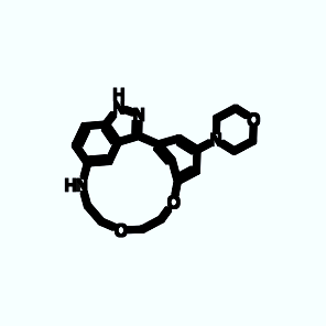 c1cc2[nH]nc3c2cc1NCCOCCOc1cc-3cc(N2CCOCC2)c1